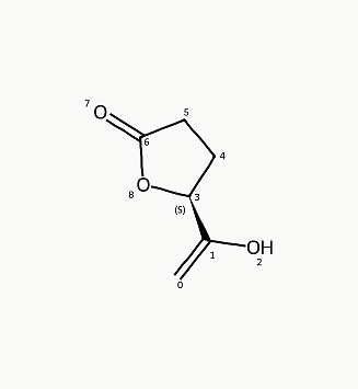 C=C(O)[C@@H]1CCC(=O)O1